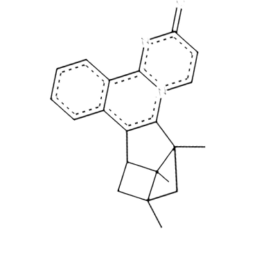 CC12CC3c4c(n5ccc(=O)nc5c5ccccc45)C(C)(C1)C32C